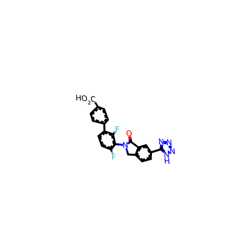 O=C(O)c1ccc(-c2ccc(F)c(N3Cc4ccc(-c5nnn[nH]5)cc4C3=O)c2F)cc1